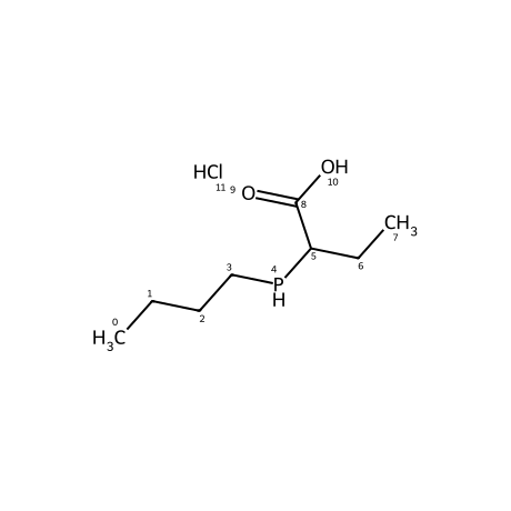 CCCCPC(CC)C(=O)O.Cl